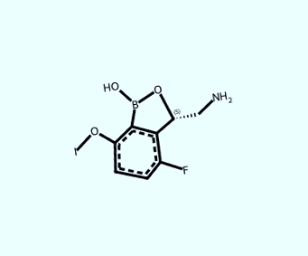 NC[C@H]1OB(O)c2c(OI)ccc(F)c21